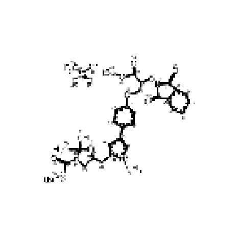 C[n+]1cc(-c2ccc(OCC(ON3C(=O)c4ccccc4C3=O)C(=O)OC(C)(C)C)cc2)cn1CC1CN(C(=O)OC(C)(C)C)C(C)(C)O1.O=S(=O)([O-])C(F)(F)F